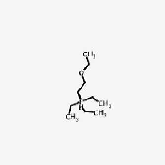 CCOCC[PH](CC)(CC)CC